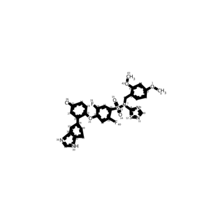 COc1ccc(CN(c2ncns2)S(=O)(=O)c2cc(F)c(Oc3ccc(Cl)cc3-c3ccc4[nH]cnc4c3)cc2F)c(OC)c1